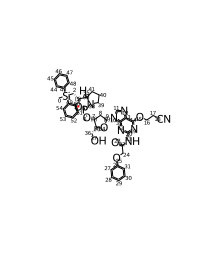 C[Si](C[C@H]1O[P@@](O[C@@H]2C[C@H](n3cnc4c(OCCC#N)nc(NC(=O)COc5ccccc5)nc43)O[C@@H]2CO)N2CCC[C@@H]12)(c1ccccc1)c1ccccc1